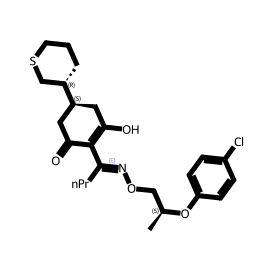 CCC/C(=N\OC[C@H](C)Oc1ccc(Cl)cc1)C1=C(O)C[C@H]([C@H]2CCCSC2)CC1=O